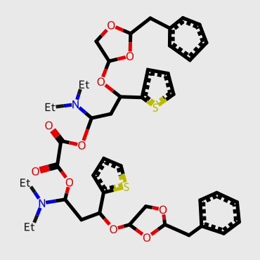 CCN(CC)C(CC(OC1COC(Cc2ccccc2)O1)c1cccs1)OC(=O)C(=O)OC(CC(OC1COC(Cc2ccccc2)O1)c1cccs1)N(CC)CC